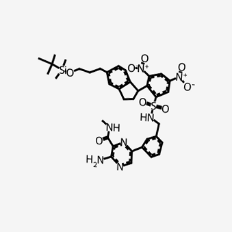 CNC(=O)c1nc(-c2cccc(CNS(=O)(=O)c3cc([N+](=O)[O-])cc([N+](=O)[O-])c3C3CCc4cc(CCCO[Si](C)(C)C(C)(C)C)ccc43)c2)cnc1N